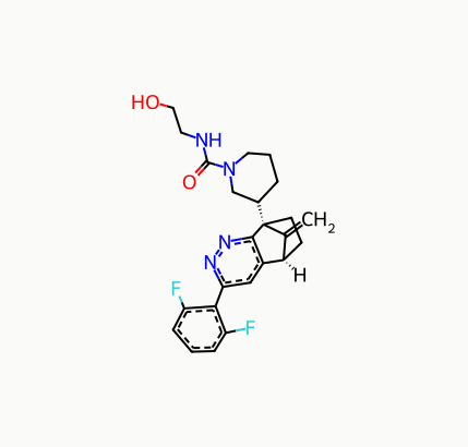 C=C1[C@H]2CC[C@]1(C1CCCN(C(=O)NCCO)C1)c1nnc(-c3c(F)cccc3F)cc12